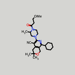 COCCC(=O)N1CCN(c2nc(C3CCCCC3)c3c(c2C#N)CC(C)(C)OC3)CC1C